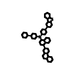 c1ccc(-c2ccc(N(c3ccc(-c4ccc5sc6ccccc6c5c4)cc3)c3ccc(-c4ccc5c(ccc6ccccc65)c4)c4ccccc34)cc2)cc1